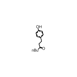 CCCCC(=O)CCc1ccc(O)cc1